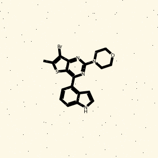 Cc1sc2c(-c3cccc4[nH]ccc34)nc(N3CCOCC3)nc2c1Br